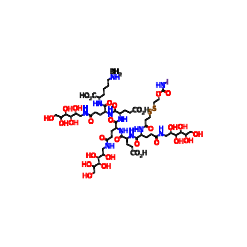 BNCCCCC(NC(=O)C(CCC(=O)NCC(O)C(O)C(O)C(O)CO)NC(=O)C(CCC(=O)O)NC(=O)C(CCC(=O)NCC(O)C(O)C(O)C(O)CO)NC(=O)C(CCC(=O)O)NC(=O)C(CCC(=O)NCC(O)C(O)C(O)C(O)CO)NC(=O)CCSSCCOC(=O)NI)C(=O)O